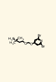 C[Si](C)(C)CCOCOc1cc(Br)nc(Br)c1